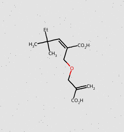 C=C(COCC(=CC(C)(C)CC)C(=O)O)C(=O)O